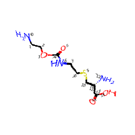 NCCOC(=O)NCCSC[C@H](N)C(=O)O